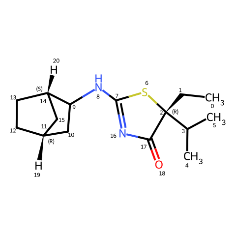 CC[C@]1(C(C)C)SC(NC2C[C@@H]3CC[C@H]2C3)=NC1=O